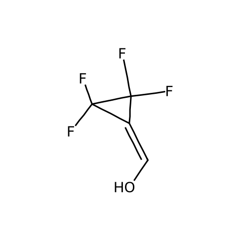 OC=C1C(F)(F)C1(F)F